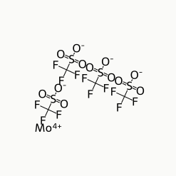 O=S(=O)([O-])C(F)(F)F.O=S(=O)([O-])C(F)(F)F.O=S(=O)([O-])C(F)(F)F.O=S(=O)([O-])C(F)(F)F.[Mo+4]